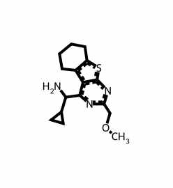 COCc1nc(C(N)C2CC2)c2c3c(sc2n1)CCCC3